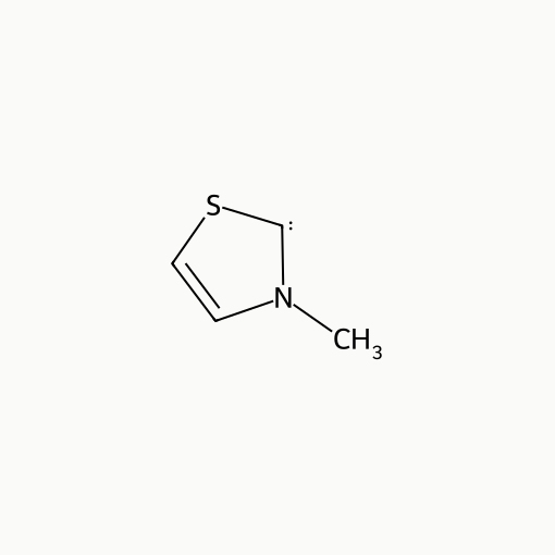 CN1[C]SC=C1